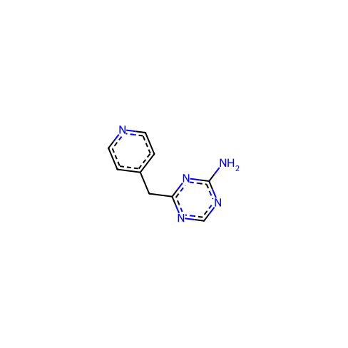 Nc1ncnc(Cc2ccncc2)n1